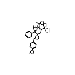 COc1ccc(COC(CC(NC(C)=O)C(Cl)Cl)C(=O)c2ccccc2)cc1